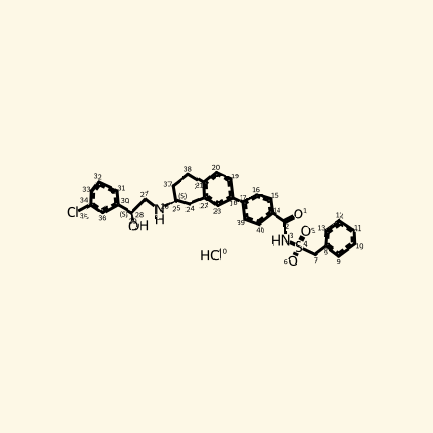 Cl.O=C(NS(=O)(=O)Cc1ccccc1)c1ccc(-c2ccc3c(c2)C[C@@H](NC[C@@H](O)c2cccc(Cl)c2)CC3)cc1